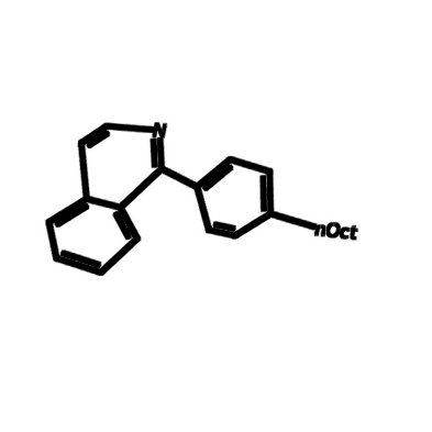 CCCCCCCCc1ccc(-c2nccc3ccccc23)cc1